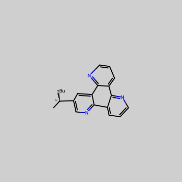 CCCC[C@H](C)c1cnc2c3cccnc3c3cccnc3c2c1